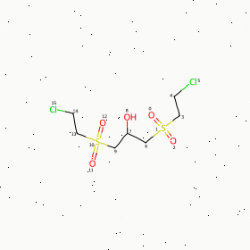 O=S(=O)(CCCl)CC(O)CS(=O)(=O)CCCl